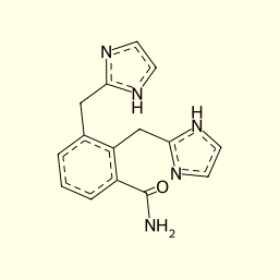 NC(=O)c1cccc(Cc2ncc[nH]2)c1Cc1ncc[nH]1